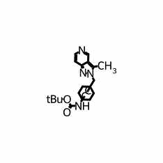 Cc1c2cnccc2nn1CC12CCC(NC(=O)OC(C)(C)C)(CC1)CC2